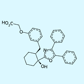 O=C(O)COc1cccc(C[C@@H]2CCCC[C@@]2(O)c2nc(-c3ccccc3)c(-c3ccccc3)o2)c1